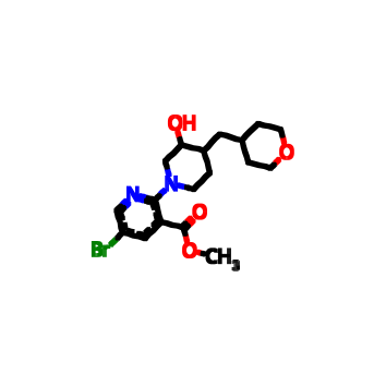 COC(=O)c1cc(Br)cnc1N1CCC(CC2CCOCC2)C(O)C1